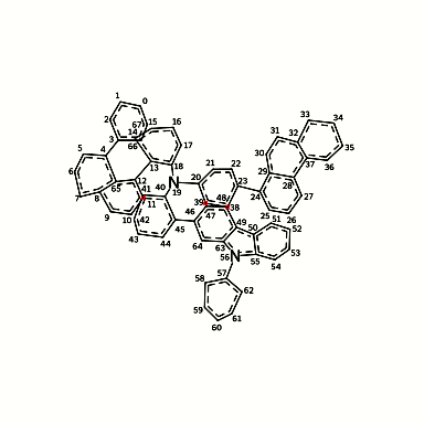 c1ccc(-c2cccc3cccc(-c4ccccc4N(c4ccc(-c5cccc6c5ccc5ccccc56)cc4)c4ccccc4-c4ccc5c6ccccc6n(-c6ccccc6)c5c4)c23)cc1